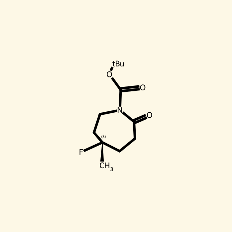 CC(C)(C)OC(=O)N1CC[C@@](C)(F)CCC1=O